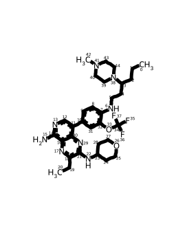 CCCC(CCNc1ccc(-c2cnc(N)c3nc(CC)c(NC4CCOCC4)nc23)cc1OC(F)(F)F)N1CCN(C)CC1